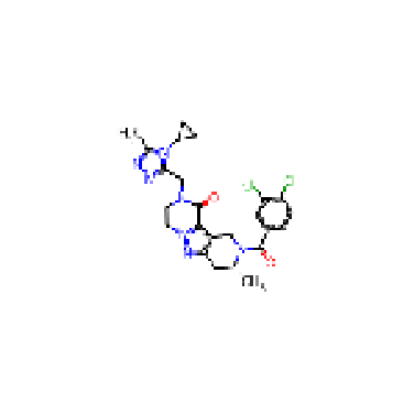 Cc1nnc(CN2CCn3nc4c(c3C2=O)CN(C(=O)c2ccc(Cl)c(Cl)c2)[C@H](C)C4)n1C1CC1